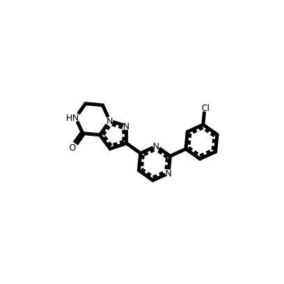 O=C1NCCn2nc(-c3ccnc(-c4cccc(Cl)c4)n3)cc21